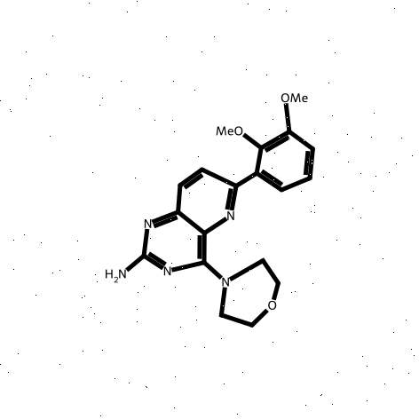 COc1cccc(-c2ccc3nc(N)nc(N4CCOCC4)c3n2)c1OC